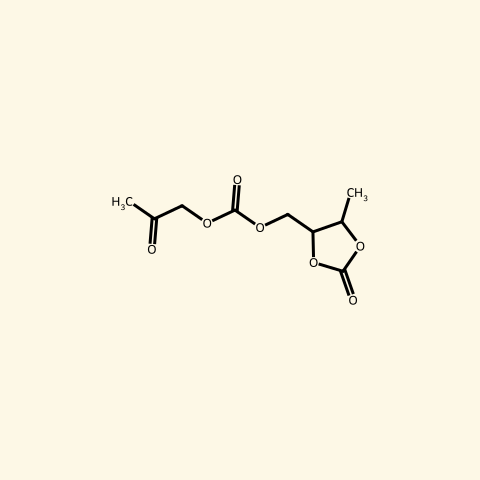 CC(=O)COC(=O)OCC1OC(=O)OC1C